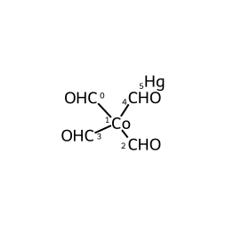 O=[CH][Co]([CH]=O)([CH]=O)[CH]=O.[Hg]